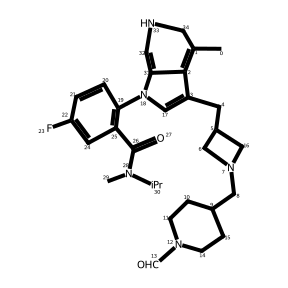 CC1=c2c(CC3CN(CC4CCN(C=O)CC4)C3)cn(-c3ccc(F)cc3C(=O)N(C)C(C)C)c2=CNC1